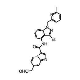 CCc1nn(Cc2cccc(C)n2)c2cccc(NC(=O)c3cnc4cc(CC=O)ccn34)c12